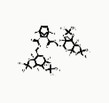 CC1(C)O[C@@H]2O[C@H](COC(=O)[C@H]3[C@H](C(=O)OC[C@H]4O[C@H]5OC(C)(C)O[C@H]5[C@H]5OC(C)(C)O[C@H]54)[C@H]4C=C[C@@H]3C4)[C@@H]3OC(C)(C)O[C@@H]3[C@@H]2O1